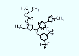 CC[C@@H]1C[C@H](N(Cc2cc(C(F)(F)F)cc(C(F)(F)F)c2)c2ncc(-c3cnn(C)c3)cn2)CN1OC(=O)O[C@H](C)CC